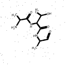 CC([C]=O)NC(=O)C(NC(=O)C(C)N)C(C)O